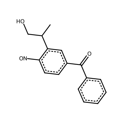 CC(CO)c1cc(C(=O)c2ccccc2)ccc1N=O